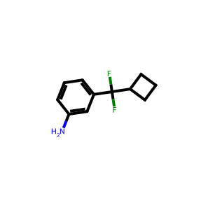 Nc1cccc(C(F)(F)C2CCC2)c1